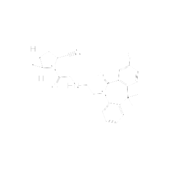 CC1(C)c2ccc(Cl)cc2C(=O)N(CCNCC(=O)N2C(C#N)C[C@@H]3C[C@@H]32)c2ccccc21